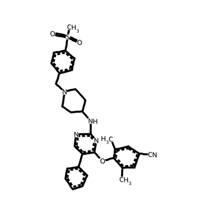 Cc1cc(C#N)cc(C)c1Oc1nc(NC2CCN(Cc3ccc(S(C)(=O)=O)cc3)CC2)ncc1-c1ccccc1